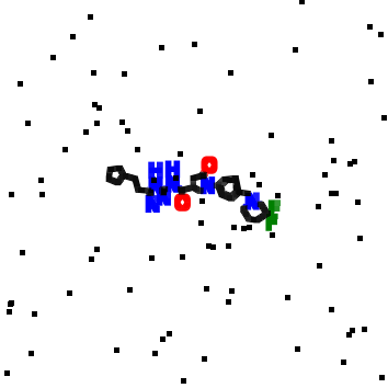 O=C(Nc1nnc(CCC2CCCC2)[nH]1)C1CC(=O)N(c2ccc(CN3CCCC(F)(F)C3)cc2)C1